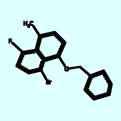 Cc1ccc(OCc2ccccc2)c2c(Br)ccc(F)c12